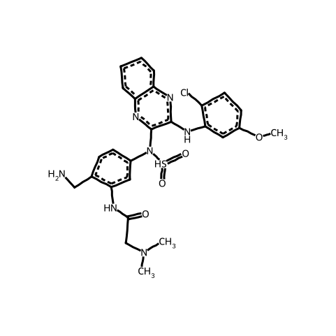 COc1ccc(Cl)c(Nc2nc3ccccc3nc2N(c2ccc(CN)c(NC(=O)CN(C)C)c2)[SH](=O)=O)c1